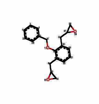 c1ccc(COc2c(CC3CO3)cccc2CC2CO2)cc1